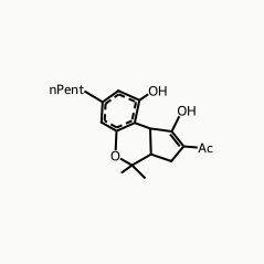 CCCCCc1cc(O)c2c(c1)OC(C)(C)C1CC(C(C)=O)=C(O)C21